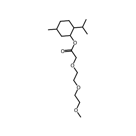 COCCOCCOCC(=O)OC1CC(C)CCC1C(C)C